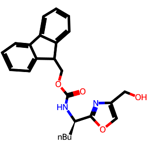 CCCC[C@@H](NC(=O)OCC1c2ccccc2-c2ccccc21)c1nc(CO)co1